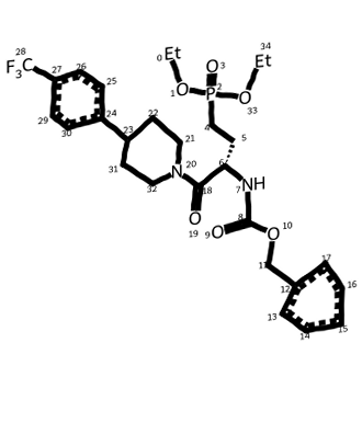 CCOP(=O)(CC[C@H](NC(=O)OCc1ccccc1)C(=O)N1CCC(c2ccc(C(F)(F)F)cc2)CC1)OCC